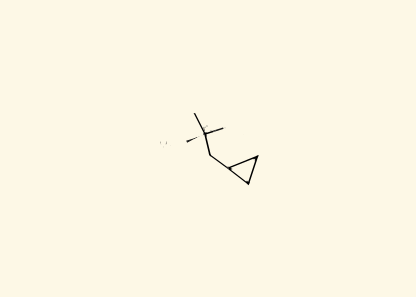 CO[C@](C)(CC1CC1)C(=O)O